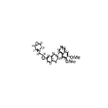 COc1cc2nncc(N3CCc4ccc(OCCN5CCOCC5)cc4C3)c2cc1OC